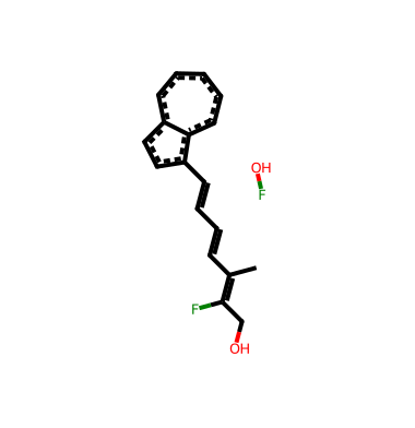 CC(/C=C/C=C/c1ccc2cccccc1-2)=C(/F)CO.OF